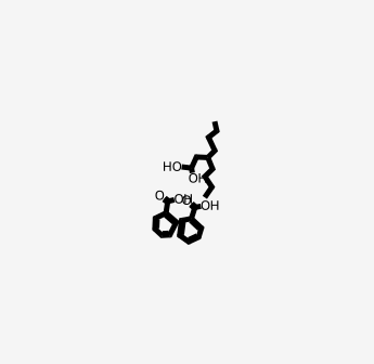 CCCCC(CCCC)CC(O)O.O=C(O)c1ccccc1.O=C(O)c1ccccc1